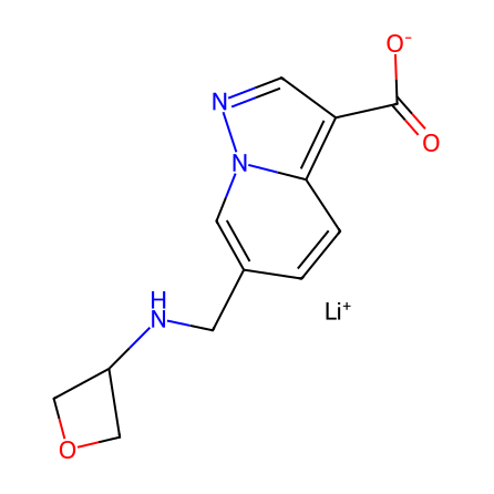 O=C([O-])c1cnn2cc(CNC3COC3)ccc12.[Li+]